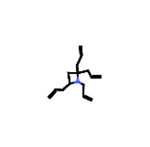 C=CCC1CC(CC=C)(CC=C)N1CC=C